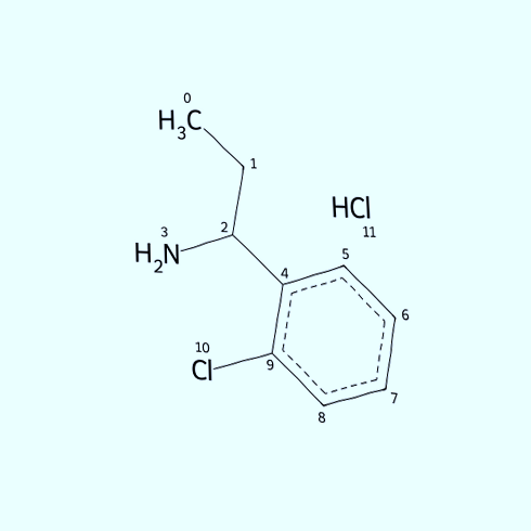 CCC(N)c1ccccc1Cl.Cl